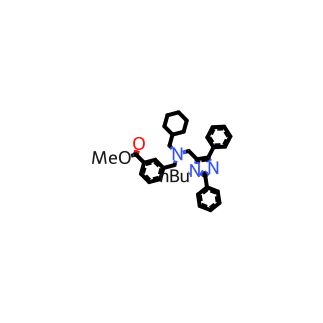 CCCCn1c(-c2ccccc2)nc(-c2ccccc2)c1CN(Cc1cccc(C(=O)OC)c1)CC1CCCCC1